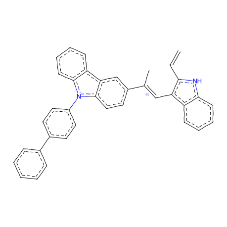 C=Cc1[nH]c2ccccc2c1/C=C(\C)c1ccc2c(c1)c1ccccc1n2-c1ccc(-c2ccccc2)cc1